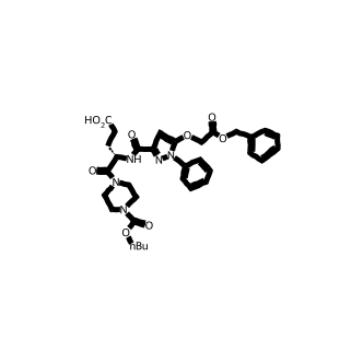 CCCCOC(=O)N1CCN(C(=O)[C@H](CCC(=O)O)NC(=O)c2cc(OCC(=O)OCc3ccccc3)n(-c3ccccc3)n2)CC1